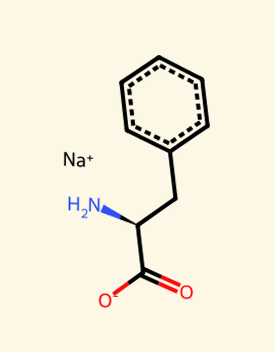 N[C@@H](Cc1ccccc1)C(=O)[O-].[Na+]